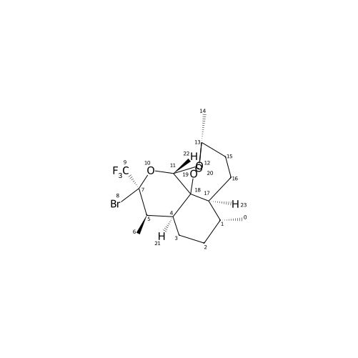 C[C@@H]1CC[C@H]2[C@@H](C)[C@](Br)(C(F)(F)F)O[C@@H]3O[C@]4(C)CC[C@@H]1C32OO4